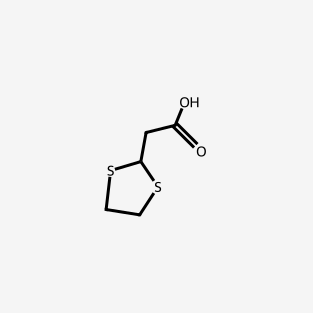 O=C(O)CC1SCCS1